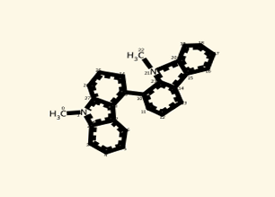 Cn1c2ccccc2c2c(-c3cccc4c5ccccc5n(C)c34)cccc21